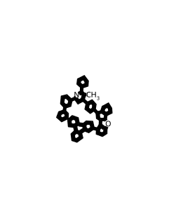 Cc1c(-c2ccc(C3=CC4c5c(cccc5-c5ccc6c7ccccc7c7ccccc7c6c5)OC4c4ccccc43)cc2)cc(-c2cccc(-c3ccccc3)c2)nc1-c1ccccc1